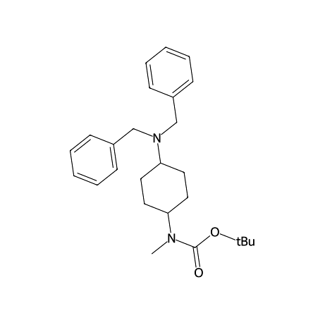 CN(C(=O)OC(C)(C)C)C1CCC(N(Cc2ccccc2)Cc2ccccc2)CC1